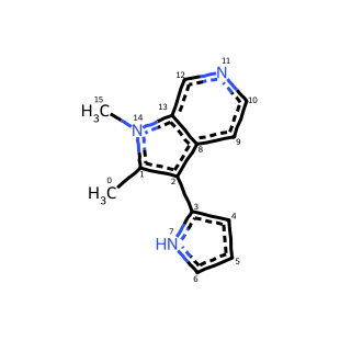 Cc1c(-c2ccc[nH]2)c2ccncc2n1C